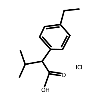 CCc1ccc(C(C(=O)O)C(C)C)cc1.Cl